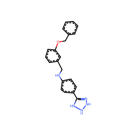 c1ccc(COc2cccc(CNc3ccc(C4=NNNN4)cc3)c2)cc1